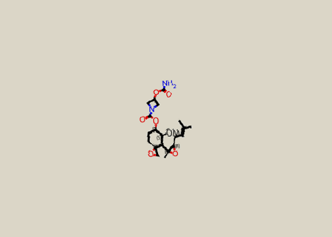 CO[C@H]1C([C@@]2(C)O[C@@H]2CC=C(C)C)[C@]2(CC[C@H]1OC(=O)N1CC(OC(N)=O)C1)CO2